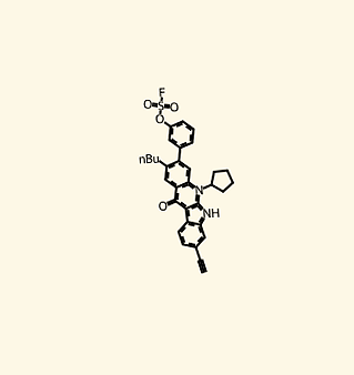 C#Cc1ccc2c(c1)[nH]c1c2c(=O)c2cc(CCCC)c(-c3cccc(OS(=O)(=O)F)c3)cc2n1C1CCCC1